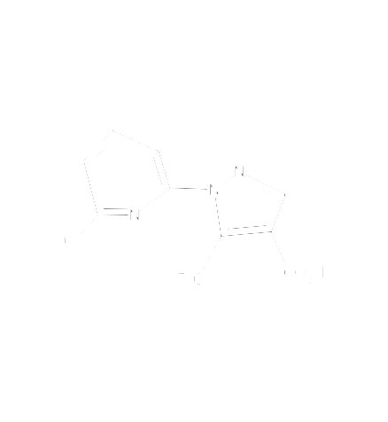 O=C(O)c1cnn(-c2cccc(Cl)n2)c1C(F)(F)F